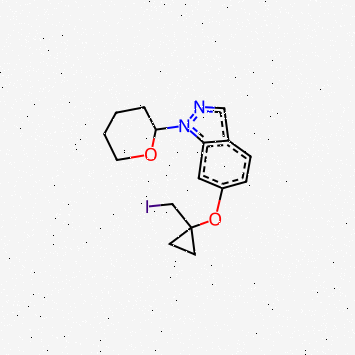 ICC1(Oc2ccc3cnn(C4CCCCO4)c3c2)CC1